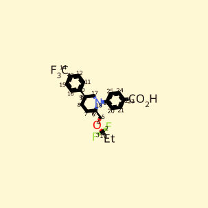 CCC(F)(F)OC[C@H]1CC[C@@H](c2ccc(C(F)(F)F)cc2)CN1c1ccc(C(=O)O)cc1